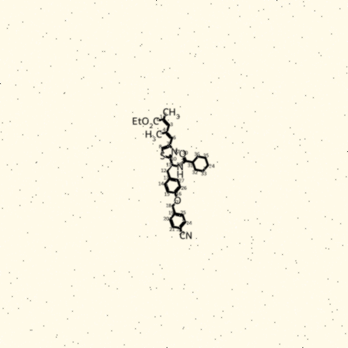 CCOC(=O)/C(C)=C\C(C)=C\c1csc([C@H](Cc2ccc(OCc3ccc(C#N)cc3)cc2)NC(=O)C2CCCCC2)n1